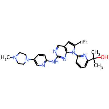 CCCc1cc2cnc(Nc3ccc(N4CCN(C)CC4)cn3)nc2n1-c1cccc(C(C)(C)O)n1